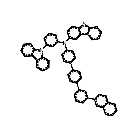 c1cc(-c2ccc(-c3ccc(N(c4cccc(-n5c6ccccc6c6ccccc65)c4)c4ccc5sc6ccccc6c5c4)cc3)cc2)cc(-c2ccc3ccccc3c2)c1